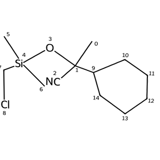 CC(C#N)(O[Si](C)(C)CCl)C1CCCCC1